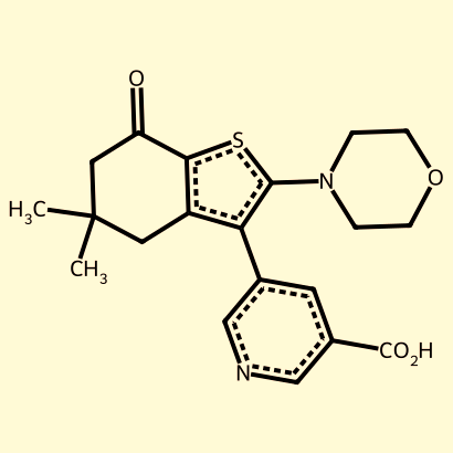 CC1(C)CC(=O)c2sc(N3CCOCC3)c(-c3cncc(C(=O)O)c3)c2C1